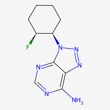 Nc1ncnc2c1nnn2[C@@H]1CCCC[C@@H]1F